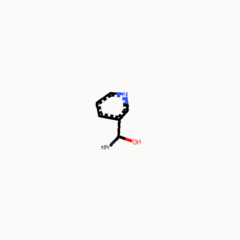 CCCC(O)c1cccnc1